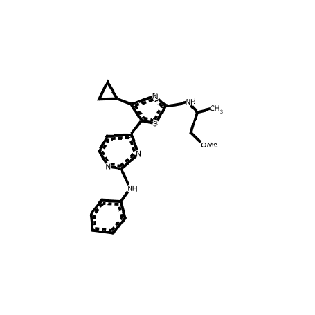 COCC(C)Nc1nc(C2CC2)c(-c2ccnc(Nc3ccccc3)n2)s1